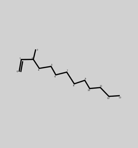 C=CC(C)CCCCCCCCCC